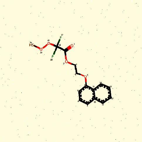 O=C(OCCOc1cccc2ccccc12)C(F)(F)OOS